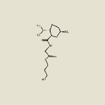 CC(C)[C@@H]1CC[C@@H](C)C[C@H]1C(=O)NCC(=O)OCCCO